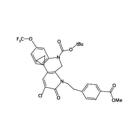 COC(=O)c1ccc(CCn2c(CN(C(=O)OC(C)(C)C)c3cccc(OC(F)(F)F)c3)c(C3CC3)cc(Cl)c2=O)cc1